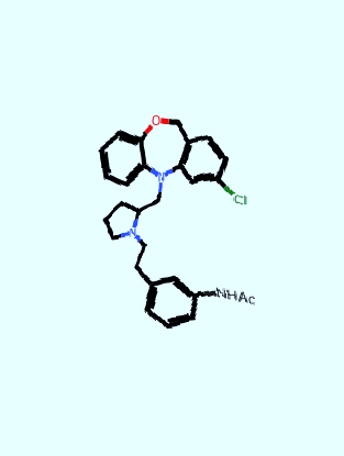 CC(=O)Nc1cccc(CCN2CCCC2CN2c3cc(Cl)ccc3COc3ccccc32)c1